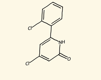 O=c1cc(Cl)cc(-c2ccccc2Cl)[nH]1